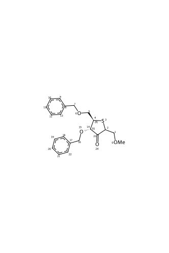 COCC1S[C@H](COCc2ccccc2)[C@@H](OCc2ccccc2)C1=O